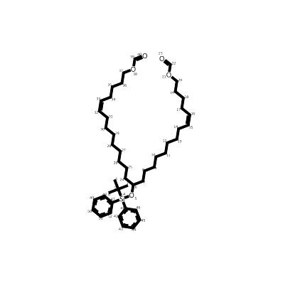 CC(C)(C)[Si](OC(CCCCCCCC/C=C\CCCCOC=O)CCCCCCCC/C=C\CCCCOC=O)(c1ccccc1)c1ccccc1